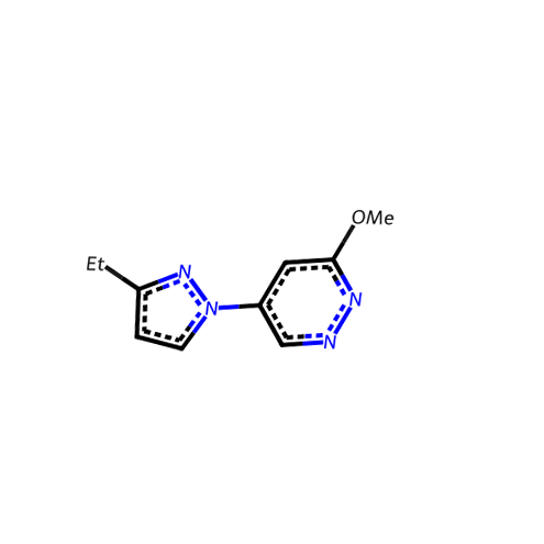 CCc1ccn(-c2cnnc(OC)c2)n1